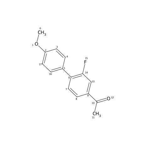 COc1ccc(-c2ccc(C(C)=O)cc2F)cc1